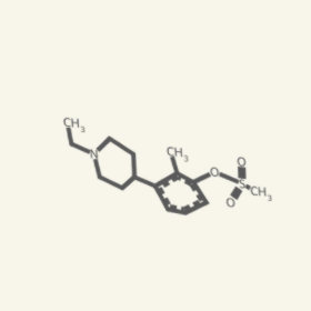 CCN1CCC(c2cccc(OS(C)(=O)=O)c2C)CC1